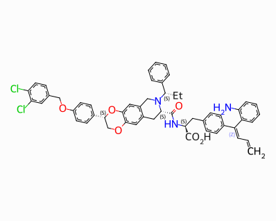 C=C/C=C(/c1ccc(C[C@H](NC(=O)[C@@H]2Cc3cc4c(cc3CN2[C@@H](CC)c2ccccc2)O[C@@H](c2ccc(OCc3ccc(Cl)c(Cl)c3)cc2)CO4)C(=O)O)cc1)c1ccccc1N